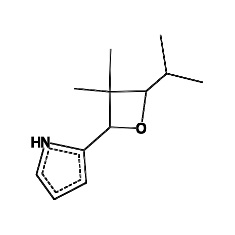 CC(C)C1OC(c2ccc[nH]2)C1(C)C